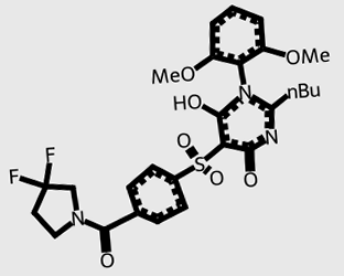 CCCCc1nc(=O)c(S(=O)(=O)c2ccc(C(=O)N3CCC(F)(F)C3)cc2)c(O)n1-c1c(OC)cccc1OC